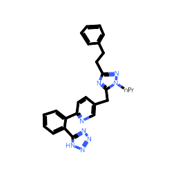 CCCn1nc(CCc2ccccc2)nc1Cc1ccc(-c2ccccc2-c2nnn[nH]2)nc1